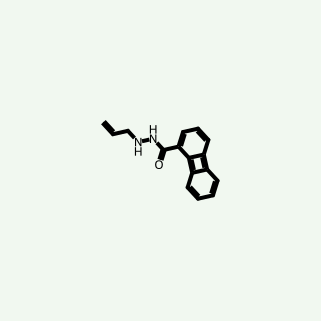 C=CCNNC(=O)c1cccc2c1=c1ccccc1=2